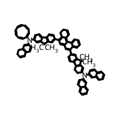 CC1(C)C2=C(CCC(N(c3ccc4ccccc4c3)c3ccc4ccccc4c3)=C2)c2ccc(-c3cc4cc(-c5ccc6c(c5)C(C)(C)c5cc(N(c7ccccccccc7)c7ccc8c(c7)CCC=C8)ccc5-6)c5c(c4c4ccccc34)C=CCC5)cc21